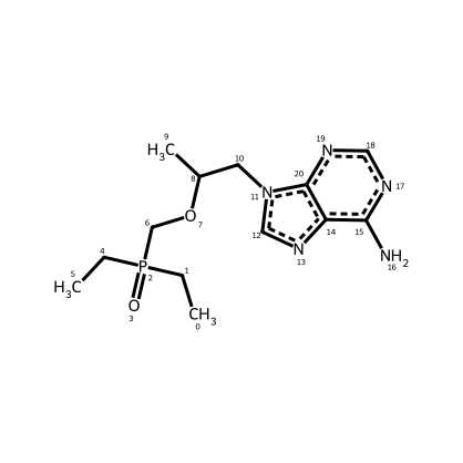 CCP(=O)(CC)COC(C)Cn1cnc2c(N)ncnc21